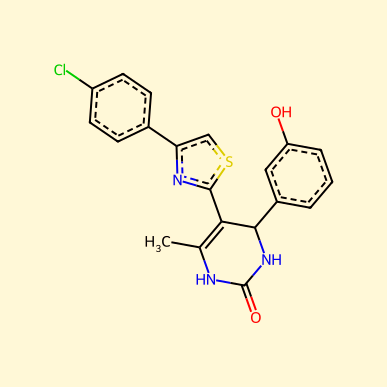 CC1=C(c2nc(-c3ccc(Cl)cc3)cs2)C(c2cccc(O)c2)NC(=O)N1